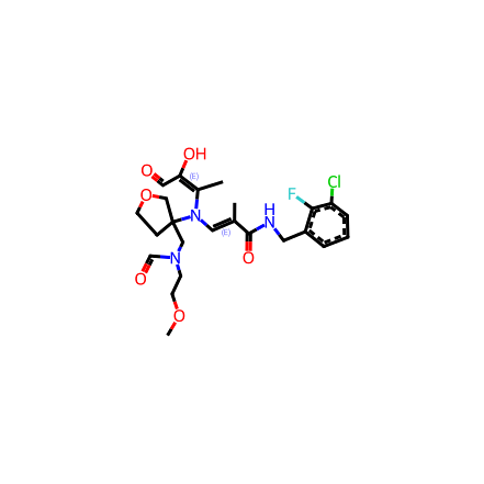 COCCN(C=O)CC1(N(/C=C(\C)C(=O)NCc2cccc(Cl)c2F)/C(C)=C(/O)C=O)CCOC1